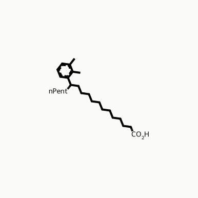 CCCCCC(CCCCCCCCCCCC(=O)O)c1cccc(C)c1C